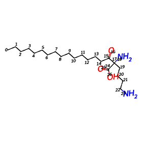 CCCCCCCCCCCCCCCC(=O)C(N)(CCCCN)C(=O)O